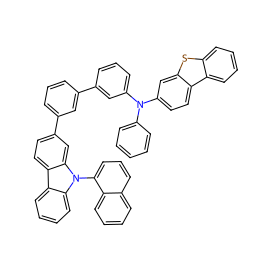 c1ccc(N(c2cccc(-c3cccc(-c4ccc5c6ccccc6n(-c6cccc7ccccc67)c5c4)c3)c2)c2ccc3c(c2)sc2ccccc23)cc1